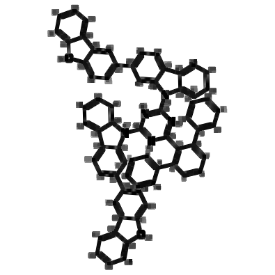 c1ccc(-c2cccc(-c3ccccc3)c2-c2nc(-n3c4ccccc4c4ccc(-c5ccc6oc7ccccc7c6c5)cc43)nc(-n3c4ccccc4c4ccc(-c5ccc6oc7ccccc7c6c5)cc43)n2)cc1